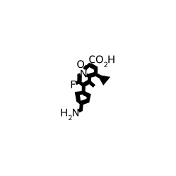 Cc1c(-c2ccc(CN)cc2)c(F)cn2c(=O)c(C(=O)O)cc(C3CC3)c12